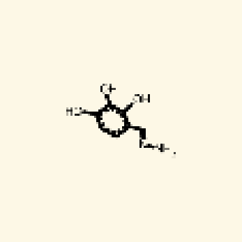 N/N=C/c1ccc(O)c(O)c1O